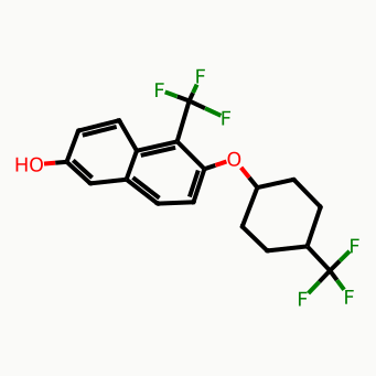 Oc1ccc2c(C(F)(F)F)c(OC3CCC(C(F)(F)F)CC3)ccc2c1